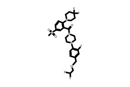 CS(=O)(=O)c1ccc(N2CCC(F)(F)CC2)c(C(=O)N2CCN(c3ccc(COCC(F)F)cc3F)CC2)c1